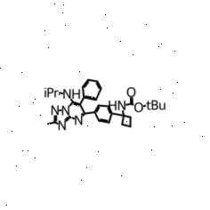 Cc1nc2nc(-c3ccc(C4(NC(=O)OC(C)(C)C)CCC4)cc3)c(-c3ccccc3)c(NC(C)C)n2n1